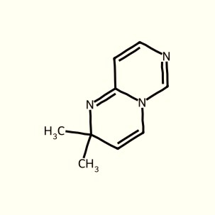 CC1(C)C=CN2C=NC=CC2=N1